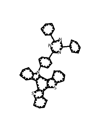 c1ccc(-c2nc(-c3ccccc3)nc(-c3ccc(-n4c5ccccc5c5c6sc7ccccc7c6c6sc7ccccc7c6c54)cc3)n2)cc1